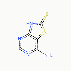 Nc1ncnc2[nH]c(=S)sc12